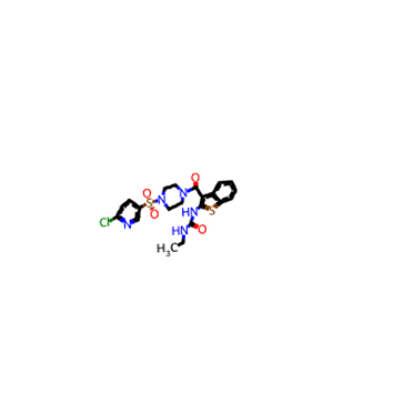 CCNC(=O)Nc1sc2ccccc2c1C(=O)N1CCN(S(=O)(=O)c2ccc(Cl)nc2)CC1